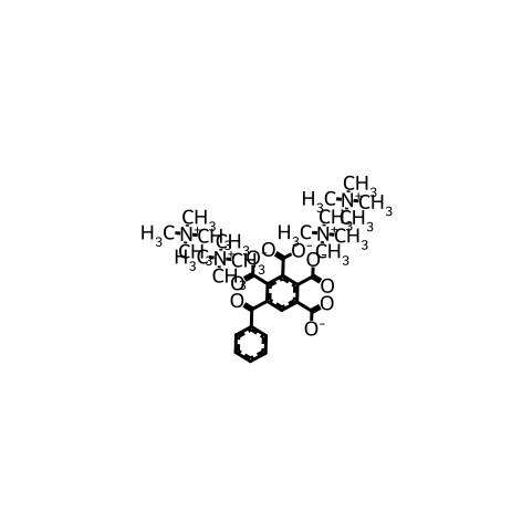 C[N+](C)(C)C.C[N+](C)(C)C.C[N+](C)(C)C.C[N+](C)(C)C.O=C([O-])c1cc(C(=O)c2ccccc2)c(C(=O)[O-])c(C(=O)[O-])c1C(=O)[O-]